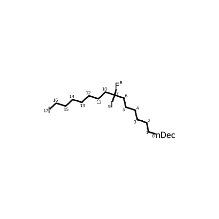 CCCCCCCCCCCCCCCCC(F)(I)CCCCCCCI